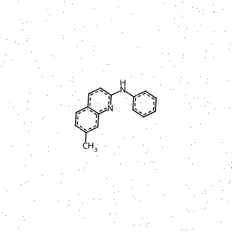 Cc1ccc2ccc(Nc3ccccc3)nc2c1